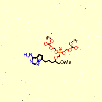 COCC(CCCc1ccc2c(N)ncnn12)OCP(=O)(OCOC(=O)OC(C)C)OCOC(=O)OC(C)C